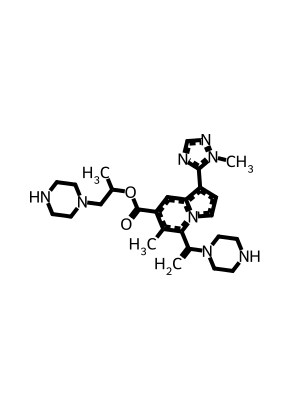 C=C(c1c(C)c(C(=O)OC(C)CN2CCNCC2)cc2c(-c3ncnn3C)ccn12)N1CCNCC1